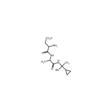 CC(NC(=O)C(N)CC(=O)O)C(=O)NC(C)(C1CC1)C(C)(C)C